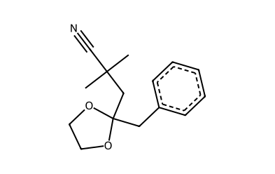 CC(C)(C#N)CC1(Cc2ccccc2)OCCO1